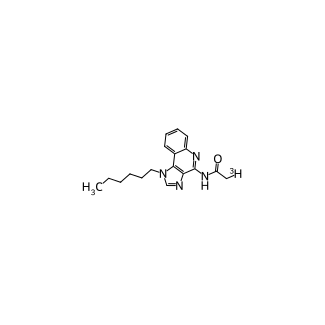 [3H]CC(=O)Nc1nc2ccccc2c2c1ncn2CCCCCC